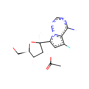 CC(C)C(=O)O[C@@H]1[C@H](O)[C@@H](CO)O[C@@]1(C#N)c1cc(F)c2c(N)ncnn12